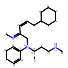 C/N=C(\C=C/CC1CCCCC1)CN(C1=CCCC=C1)[C@@H](C)CCNC